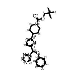 CC(C)(C)COC(=O)N1CCC(c2nc(C(Oc3ccccc3)n3cnnn3)cs2)CC1